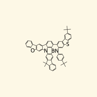 CC(C)(C)c1ccc(N2B3c4cc5c(cc4-n4c6cc7oc8ccccc8c7cc6c6ccc(c3c64)-c3cc4c(cc32)sc2ccc(C(C)(C)C)cc24)C(C)(C)c2ccccc2-5)cc1